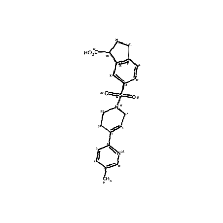 Cc1ccc(C2=CCN(S(=O)(=O)c3ccc4c(c3)C(C(=O)O)CC4)CC2)nc1